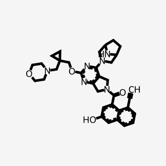 C#Cc1cccc2cc(O)cc(C(=O)N3Cc4nc(OCC5(CN6CCOCC6)CC5)nc(N5CC6CCC(C5)N6)c4C3)c12